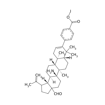 C=C(C)C1CCC2(C=O)CC[C@]3(N)[C@H](CC[C@@H]4[C@@]5(C)CC=C(c6ccc(C(=O)OI)cc6)C(C)(C)[C@@H]5CC[C@]43C)[C@@H]12